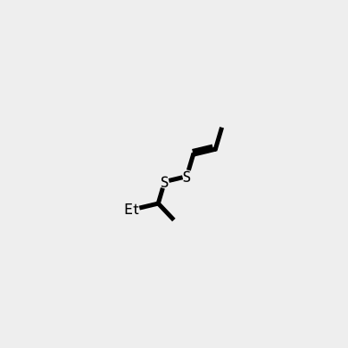 CC=CSSC(C)CC